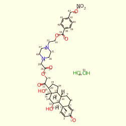 C[C@]12C=CC(=O)C=C1CC[C@@H]1[C@@H]2C(O)C[C@@]2(C)[C@H]1CC[C@]2(O)C(=O)COC(=O)CN1CCN(CCOC(=O)c2ccc(CO[N+](=O)[O-])cc2)CC1.Cl.Cl